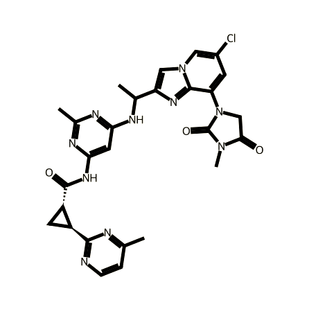 Cc1ccnc([C@H]2C[C@@H]2C(=O)Nc2cc(NC(C)c3cn4cc(Cl)cc(N5CC(=O)N(C)C5=O)c4n3)nc(C)n2)n1